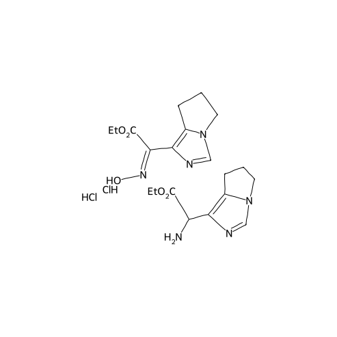 CCOC(=O)C(=NO)c1ncn2c1CCC2.CCOC(=O)C(N)c1ncn2c1CCC2.Cl.Cl